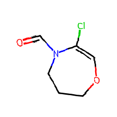 O=CN1CCCOC=C1Cl